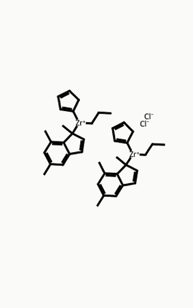 CC[CH2][Zr+]([C]1=CC=CC1)[C]1(C)C=Cc2cc(C)cc(C)c21.CC[CH2][Zr+]([C]1=CC=CC1)[C]1(C)C=Cc2cc(C)cc(C)c21.[Cl-].[Cl-]